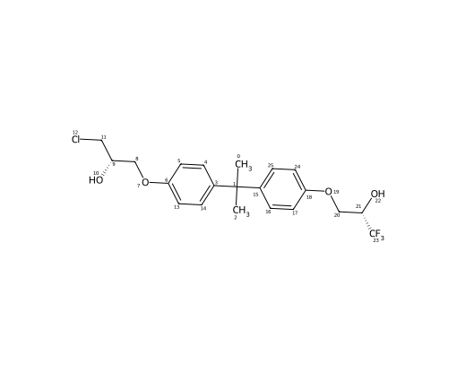 CC(C)(c1ccc(OC[C@H](O)CCl)cc1)c1ccc(OC[C@H](O)C(F)(F)F)cc1